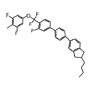 CCCCC1Cc2ccc(-c3ccc(-c4ccc(C(F)(F)Oc5cc(F)c(C)c(F)c5)c(F)c4)cc3)cc2C1